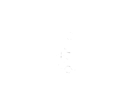 CCS(=O)(=O)C(NC1CC(C)(C)Oc2ccc(F)cc21)C(=O)NCCN1CCOCC1